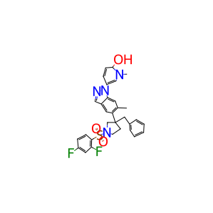 Cc1cc2c(cnn2C2=CN(C)C(O)C=C2)cc1C1(Cc2ccccc2)CCN(S(=O)(=O)c2ccc(F)cc2F)C1